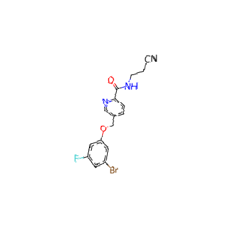 N#CCCNC(=O)c1ccc(COc2cc(F)cc(Br)c2)cn1